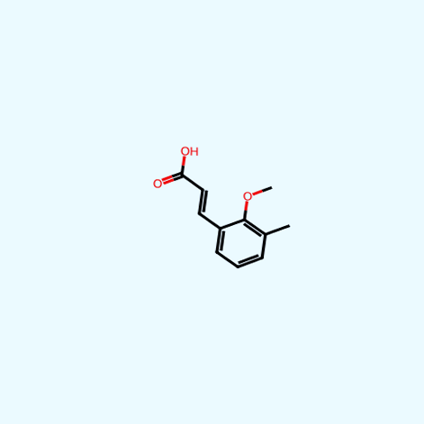 COc1c(C)cccc1C=CC(=O)O